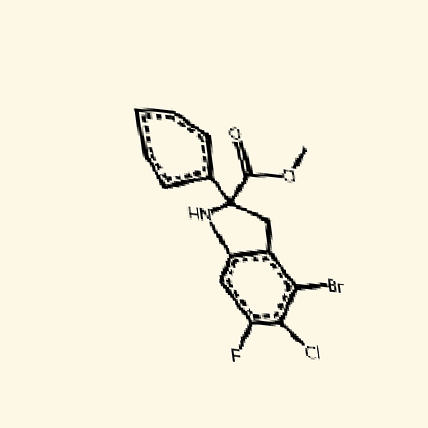 COC(=O)C1(c2ccccc2)Cc2c(cc(F)c(Cl)c2Br)N1